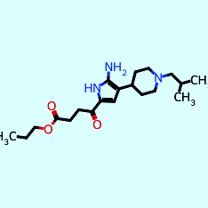 CCCOC(=O)CCC(=O)c1cc(C2CCN(CC(C)C)CC2)c(N)[nH]1